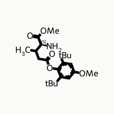 COC(=O)[C@@H](N)C(C)CC(=O)Oc1c(C(C)(C)C)cc(OC)cc1C(C)(C)C